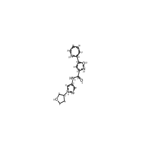 O=C(Nc1cnn(C2CCOC2)c1)c1cc(-c2ccccn2)on1